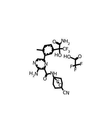 Cc1ccc(C(O)(C(N)=O)C(F)(F)F)cc1-c1cnc(N)c(C(=O)NC23CCC(C#N)(CC2)CC3)n1.O=C(O)C(F)(F)F